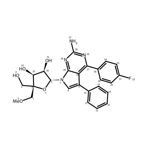 COC[C@]1(CO)O[C@@H](n2cc(-c3ccccc3)c3c(-c4ccc(F)cc4)nc(N)nc32)[C@H](O)[C@@H]1O